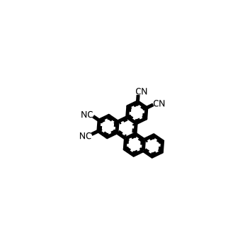 N#Cc1cc2c(cc1C#N)c1ccc3ccccc3c1c1cc(C#N)c(C#N)cc21